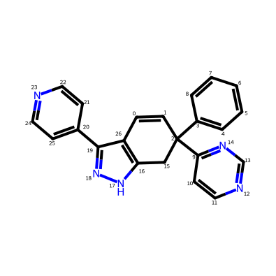 C1=CC(c2ccccc2)(c2ccncn2)Cc2[nH]nc(-c3ccncc3)c21